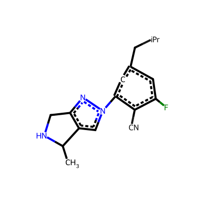 CC(C)Cc1cc(F)c(C#N)c(-n2cc3c(n2)CNC3C)c1